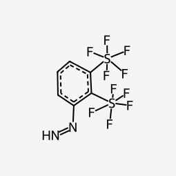 N=Nc1cccc(S(F)(F)(F)(F)F)c1S(F)(F)(F)(F)F